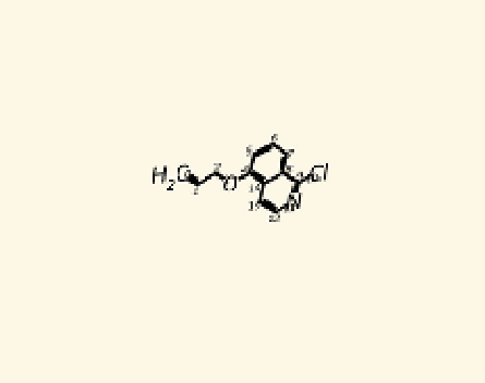 C=CCOc1cccc2c(Cl)nccc12